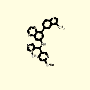 COc1ccc(C(Nc2cc(-c3ccc4scc(C)c4c3)c3nccnc3c2)c2cncn2C)cn1